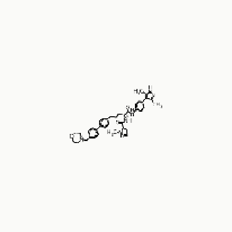 Cc1n[nH]c(C)c1-c1ccc(NC(=O)[C@H](CCCc2ccc(-c3ccc(CN4CCOCC4)cc3)cc2)NC(=O)C2CC=NN2C)cc1